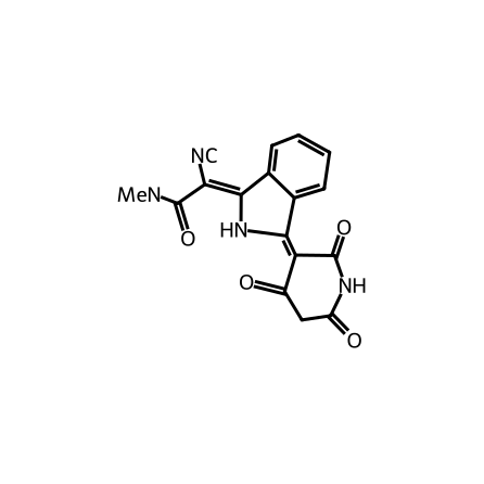 [C-]#[N+]/C(C(=O)NC)=c1/[nH]/c(=C2\C(=O)CC(=O)NC2=O)c2ccccc12